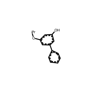 CC(C)Oc1cc(O)cc(-c2ccccc2)c1